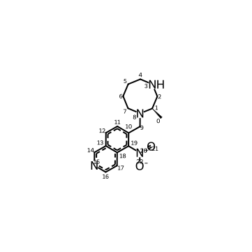 C[C@@H]1CNCCCCN1Cc1ccc2cnccc2c1[N+](=O)[O-]